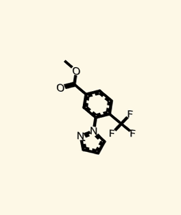 COC(=O)c1ccc(C(F)(F)F)c(-n2cccn2)c1